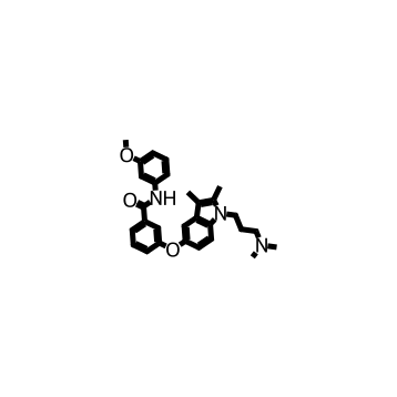 COc1cccc(NC(=O)c2cccc(Oc3ccc4c(c3)c(C)c(C)n4CCCN(C)C)c2)c1